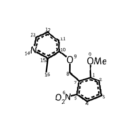 COc1cccc([N+](=O)[O-])c1COc1cccnc1C